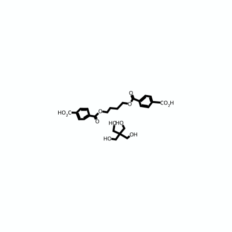 O=C(O)c1ccc(C(=O)OCCCCOC(=O)c2ccc(C(=O)O)cc2)cc1.OCC(CO)(CO)CO